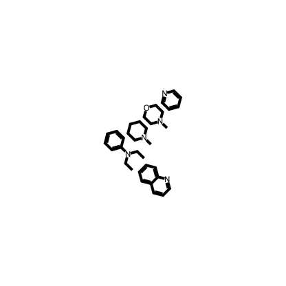 CCN(CC)c1ccccc1.CN1CCCCC1.CN1CCOCC1.c1ccc2ncccc2c1.c1ccncc1